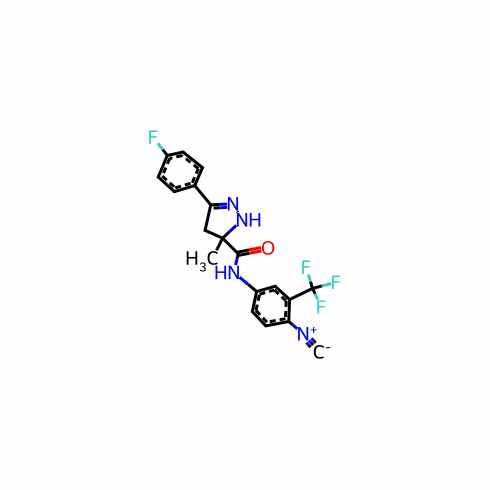 [C-]#[N+]c1ccc(NC(=O)C2(C)CC(c3ccc(F)cc3)=NN2)cc1C(F)(F)F